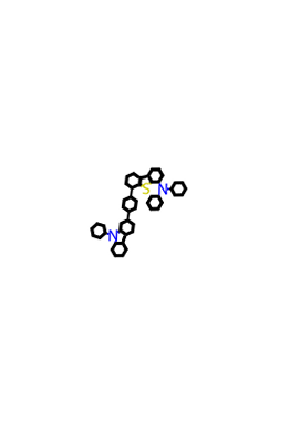 c1ccc(N(c2ccccc2)c2cccc3c2sc2c(-c4ccc(-c5ccc6c7ccccc7n(-c7ccccc7)c6c5)cc4)cccc23)cc1